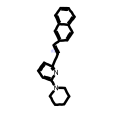 C(=C\c1cccc(N2CCCCC2)n1)/c1ccc2ccccc2c1